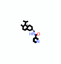 CC(C)C1C(C)CC=C2C[C@@H](CNC(=O)c3cccnc3)CC[C@@]21C